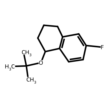 CC(C)(C)OC1CCCc2cc(F)ccc21